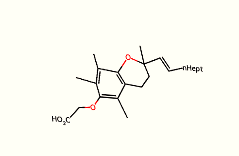 CCCCCCCC=CC1(C)CCc2c(C)c(OCC(=O)O)c(C)c(C)c2O1